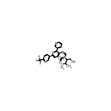 Cc1cc(-c2ccc(C(F)(F)F)nc2)nc(-c2cccnc2)c1/N=C\N(C=O)C(CO)C(C)C